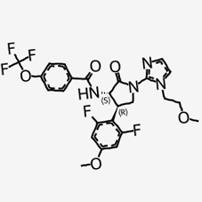 COCCn1ccnc1N1C[C@@H](c2c(F)cc(OC)cc2F)[C@H](NC(=O)c2ccc(OC(F)(F)F)cc2)C1=O